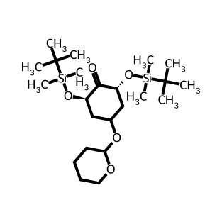 CC(C)(C)[Si](C)(C)O[C@@H]1CC(OC2CCCCO2)C[C@@H](O[Si](C)(C)C(C)(C)C)C1=O